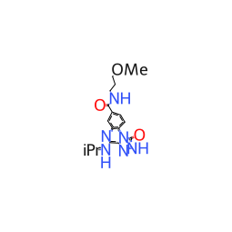 COCCCNC(=O)c1ccc2c(c1)nc(NC(C)C)c1n[nH]c(=O)n12